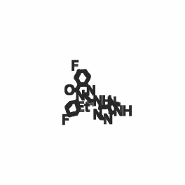 CC[C@H](Nc1ncnc2[nH]cnc12)c1nc2ccc(F)cc2c(=O)n1-c1ccc(F)cc1